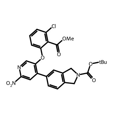 COC(=O)c1c(Cl)cccc1Oc1cnc([N+](=O)[O-])cc1-c1ccc2c(c1)CN(C(=O)OC(C)(C)C)C2